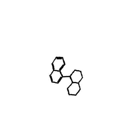 c1ccc2c(C3CCCC4CCCCC43)cccc2c1